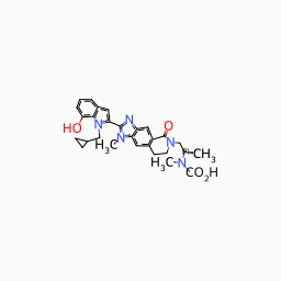 C[C@H](CN1CCc2cc3c(cc2C1=O)nc(-c1cc2cccc(O)c2n1CC1CC1)n3C)N(C)C(=O)O